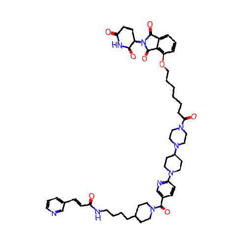 O=C(/C=C/c1cccnc1)NCCCCC1CCN(C(=O)c2ccc(N3CCC(N4CCN(C(=O)CCCCCCOc5cccc6c5C(=O)N(C5CCC(=O)NC5=O)C6=O)CC4)CC3)nc2)CC1